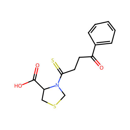 O=C(CCC(=S)N1CSCC1C(=O)O)c1ccccc1